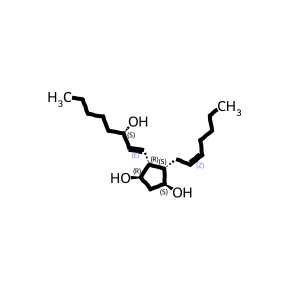 CCCC/C=C\C[C@H]1[C@@H](/C=C/[C@@H](O)CCCCC)[C@H](O)C[C@@H]1O